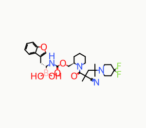 CC(C#N)(CC(C)(C)N1CCC(F)(F)CC1)C(=O)N1CCCC[C@@H]1COC(=O)N[C@@H](Cc1coc2ccccc12)B(O)O